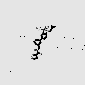 CN1c2cc(-c3cccc(CNC(=O)c4ccon4)c3)ccc2N(CC2CC2)S1(=O)=O